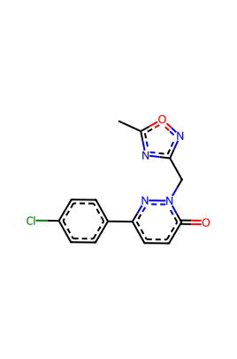 Cc1nc(Cn2nc(-c3ccc(Cl)cc3)ccc2=O)no1